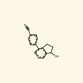 N#Cc1ccc(-c2cncc3c2CCC3O)cc1